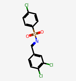 O=S(=O)(/N=C/c1ccc(Cl)c(Cl)c1)c1ccc(Cl)cc1